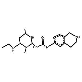 CCNC1CC(C)NC(NC(=O)Nc2ccc3c(c2)CCNC3)N1C